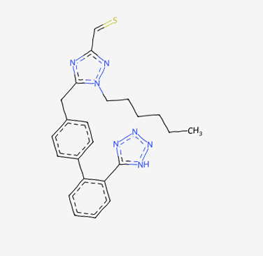 CCCCCCn1nc(C=S)nc1Cc1ccc(-c2ccccc2-c2nnn[nH]2)cc1